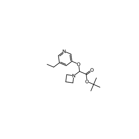 CCc1cncc(OC(C(=O)OC(C)(C)C)N2CCC2)c1